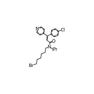 CC(C)N(CCCCCCBr)C(=O)C=C(c1ccncc1)c1ccc(Cl)cc1